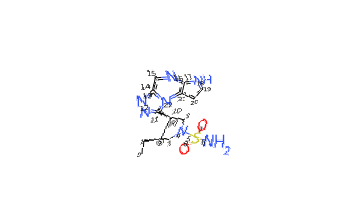 CC[C@@H]1CN(S(N)(=O)=O)C[C@@H]1c1nnc2cnc3[nH]ccc3n12